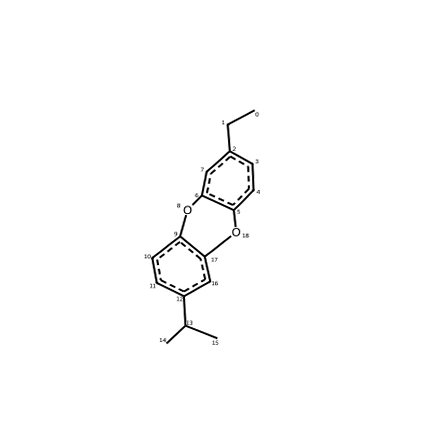 CCc1ccc2c(c1)Oc1ccc(C(C)C)cc1O2